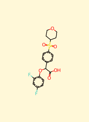 O=C(O)C(Oc1ccc(F)cc1F)c1ccc(S(=O)(=O)C2CCOCC2)cc1